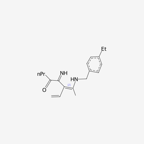 C=C/C(C(=N)C(=O)CCC)=C(\C)NCc1ccc(CC)cc1